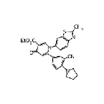 CCOC(=O)c1cn(-c2ccc3nc(C)sc3c2)c(-c2ccc(N3CCCC3)c(C#N)c2)cc1=O